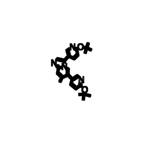 Cc1cc2ncc(-c3ccc(OC(C)(C)C)nc3)n2cc1-c1ccc(OC(C)(C)C)nc1